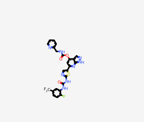 O=C(Nc1ncc(-c2cc(OC(=O)NCc3ccccn3)c3cn[nH]c3n2)s1)Nc1cc(C(F)(F)F)ccc1F